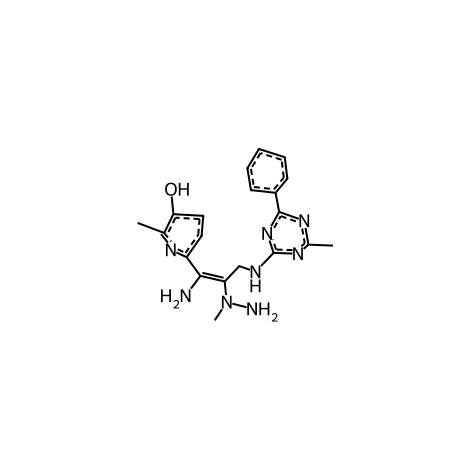 Cc1nc(NC/C(=C(/N)c2ccc(O)c(C)n2)N(C)N)nc(-c2ccccc2)n1